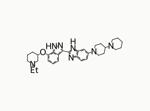 CCN1CCCC(Oc2cccc3c(-c4nc5ccc(N6CCC(N7CCCCC7)CC6)cc5[nH]4)n[nH]c23)C1